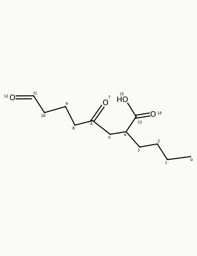 CCCCC(CC(=O)CCCC=O)C(=O)O